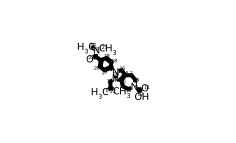 CC(C)CN1C2=C(CCN(C(=O)O)CC2)CN1c1ccc(C(=O)N(C)C)cc1